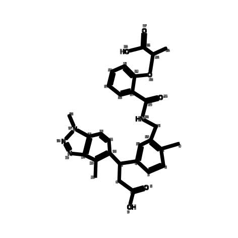 Cc1ccc(C(CC(=O)O)c2ccc3c(nnn3C)c2C)cc1CNC(=O)c1ccccc1OC(C)C(=O)O